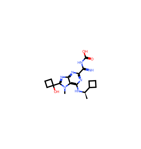 C[C@@H](Nc1nc(C(=N)NC(=O)O)nc2nc(C3(O)CCC3)n(C)c12)C1CCC1